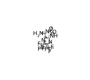 NC1=NS(=O)(=O)Nc2nc(C(F)(F)F)c(C(F)(F)F)nc21